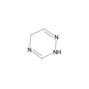 [C]1=NCC=NN1